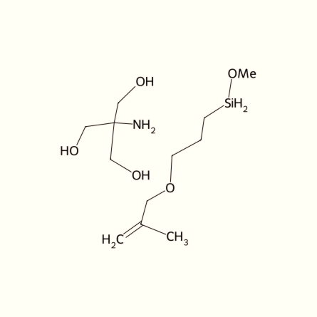 C=C(C)COCCC[SiH2]OC.NC(CO)(CO)CO